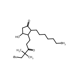 BCCCCCCC1C(=O)CC(O)C1CCC(=O)C(C)(C)CC(C)CC